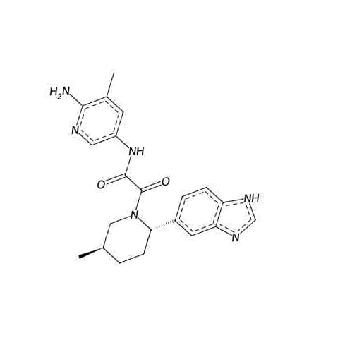 Cc1cc(NC(=O)C(=O)N2C[C@H](C)CC[C@H]2c2ccc3[nH]cnc3c2)cnc1N